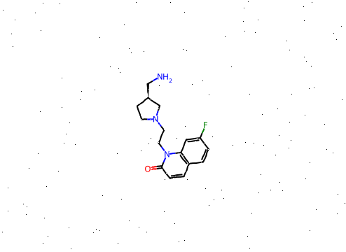 NC[C@@H]1CCN(CCn2c(=O)ccc3ccc(F)cc32)C1